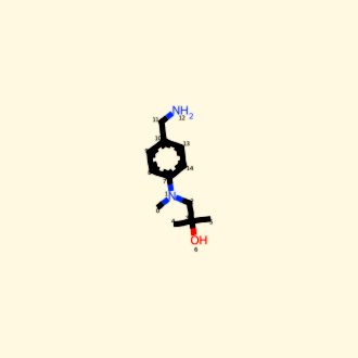 CN(CC(C)(C)O)c1ccc(CN)cc1